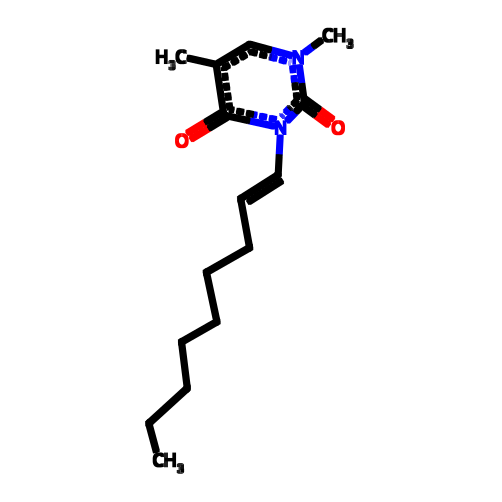 CCCCCCCC=Cn1c(=O)c(C)cn(C)c1=O